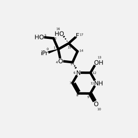 CC(C)[C@]1(CO)O[C@@H](N2C=CC(=O)NC2O)C[C@]1(O)F